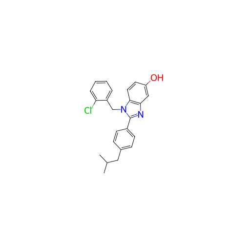 CC(C)Cc1ccc(-c2nc3cc(O)ccc3n2Cc2ccccc2Cl)cc1